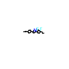 CC#Cc1ccc(-c2ccc(-c3ccc(CCC)c(F)c3F)nc2)cc1